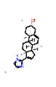 C[C@H]1C=C2C[C@@H](O)CC[C@]2(C)[C@H]2CC[C@]3(C)C(c4ncc[nH]4)=CC[C@H]3[C@H]12